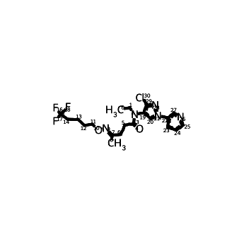 CCN(C(=O)CCC(C)=NOCCCCC(F)(F)F)c1cn(-c2cccnc2)nc1Cl